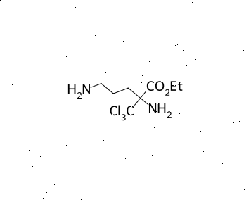 CCOC(=O)C(N)(CCCN)C(Cl)(Cl)Cl